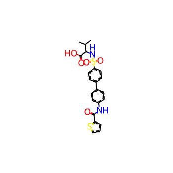 CC(C)C(NS(=O)(=O)c1ccc(-c2ccc(NC(=O)c3cccs3)cc2)cc1)C(=O)O